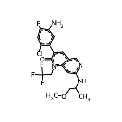 COCC(C)Nc1cc2c(cn1)cc(-c1cc(N)c(F)cc1Cl)c(=O)n2CC(F)(F)F